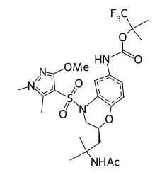 COc1nn(C)c(C)c1S(=O)(=O)N1C[C@H](CC(C)(C)NC(C)=O)Oc2ccc(NC(=O)OC(C)(C)C(F)(F)F)cc21